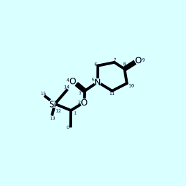 CC(OC(=O)N1CCC(=O)CC1)[Si](C)(C)C